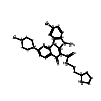 CC(=O)N1CCN(c2ccc3c(=O)c(C(=O)NCCC4CCCN4)c4n(C)c5ccc(C#N)cc5n4c3n2)CC1